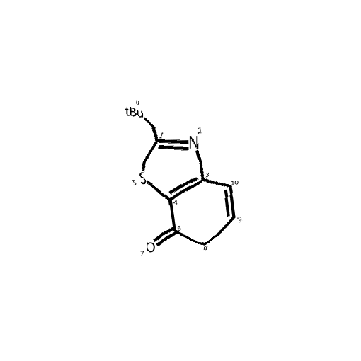 CC(C)(C)c1nc2c(s1)C(=O)CC=C2